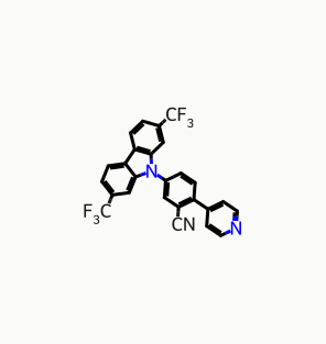 N#Cc1cc(-n2c3cc(C(F)(F)F)ccc3c3ccc(C(F)(F)F)cc32)ccc1-c1ccncc1